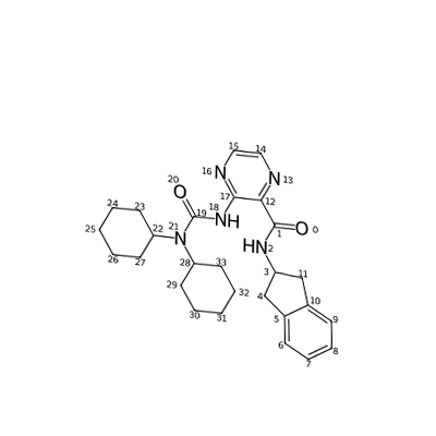 O=C(NC1Cc2ccccc2C1)c1nccnc1NC(=O)N(C1CCCCC1)C1CCCCC1